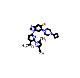 C#Cc1cc(C)n(-c2nc(-n3cnc4cc(Br)c(N5CCN(C6CCC6)CC5)cc43)ccc2C(C)=O)n1